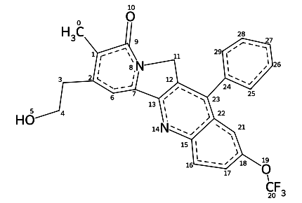 Cc1c(CCO)cc2n(c1=O)Cc1c-2nc2ccc(OC(F)(F)F)cc2c1-c1ccccc1